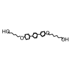 OCCCCCCOc1ccc(-c2ccc(-c3ccc(OCCCCCCO)cc3)cc2)cc1